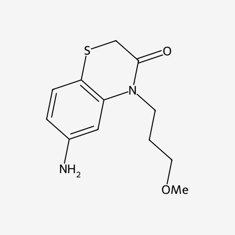 COCCCN1C(=O)CSc2ccc(N)cc21